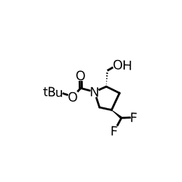 CC(C)(C)OC(=O)N1C[C@H](C(F)F)C[C@H]1CO